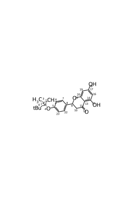 CC(C)(C)[Si](C)(C)Oc1ccc(C2CC(=O)c3c(O)cc(O)cc3O2)cc1